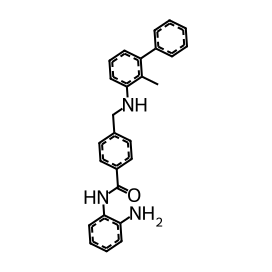 Cc1c(NCc2ccc(C(=O)Nc3ccccc3N)cc2)cccc1-c1ccccc1